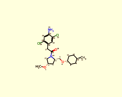 CO[C@H]1C[C@@H](CO[C@H]2CC[C@H](C)CC2)N(C(=O)Cc2cc(Cl)c(N)cc2Cl)C1